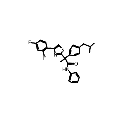 CC(C)Cc1ccc(C(C)(C(=O)Nc2ccccc2)c2nc(-c3ccc(F)cc3F)cs2)cc1